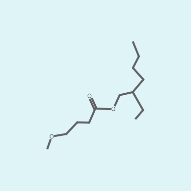 CCCCC(CC)COC(=O)CCCOC